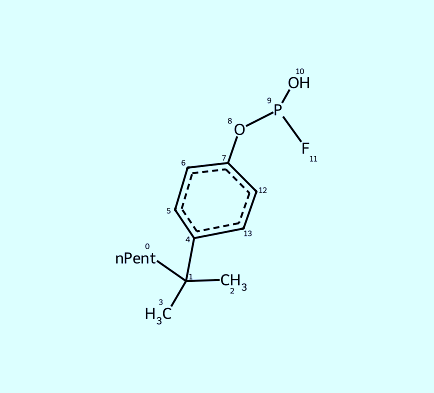 CCCCCC(C)(C)c1ccc(OP(O)F)cc1